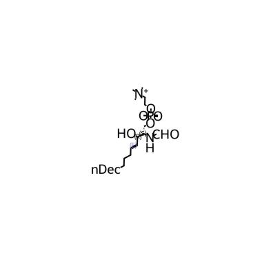 CCCCCCCCCCCCC/C=C/[C@@H](O)[C@H](COP(=O)([O-])OCC[N+](C)(C)C)NC=O